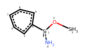 N[SiH](O[SiH3])c1ccccc1